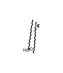 CCCCCCCCCCCCCCCCCC(=O)O.CCCCCCCCCCCCCCCCN(CC)C(C)C